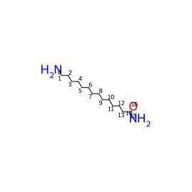 NCCCCCCCCCCCCCC(N)=O